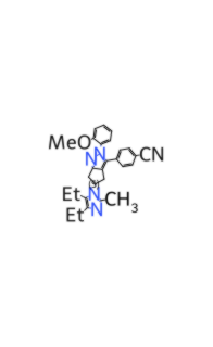 CCc1nc(C)n([C@@H]2Cc3nn(-c4ccccc4OC)c(-c4ccc(C#N)cc4)c3C2)c1CC